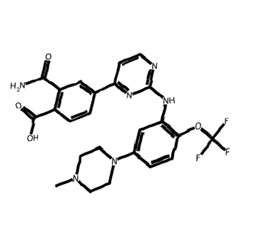 CN1CCN(c2ccc(OC(F)(F)F)c(Nc3nccc(-c4ccc(C(=O)O)c(C(N)=O)c4)n3)c2)CC1